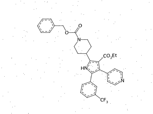 CCOC(=O)c1c(C2CCN(C(=O)OCc3ccccc3)CC2)[nH]c(-c2cccc(C(F)(F)F)c2)c1-c1ccncc1